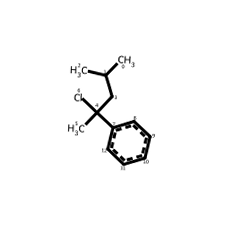 CC(C)CC(C)(Cl)c1ccccc1